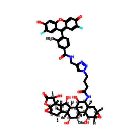 CC(=O)O[C@H]1[C@H]2[C@@H]([C@@H](O)[C@@H](NC(=O)CCCn3cc(CNC(=O)c4ccc(-c5c6cc(F)c(=O)cc-6oc6cc(O)c(F)cc56)c(C(=O)O)c4)nn3)[C@H]3C[C@@H]4O[C@@H]4[C@H](O)[C@]23C)[C@@H]2[C@@H](O)[C@@H]3[C@H]([C@H](C)[C@H]4O[C@]45OC(=O)[C@@](C)(O)[C@]35C)[C@@]2(C(C)=O)[C@H]1O